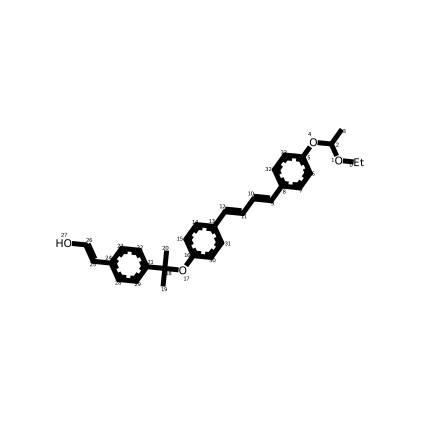 CCOC(C)Oc1ccc(C=CC=Cc2ccc(OC(C)(C)c3ccc(C=CO)cc3)cc2)cc1